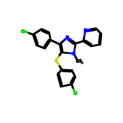 Cn1c(-c2ccccn2)nc(-c2ccc(Cl)cc2)c1Sc1ccc(Cl)cc1